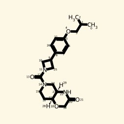 CC(C)COc1ccc(C2CN(C(=O)N3CC[C@@H]4OCC(=O)N[C@@H]4C3)C2)cc1